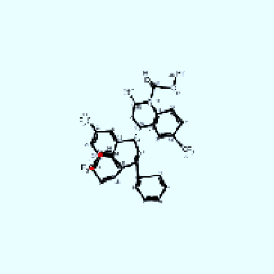 CC[C@@H]1C[C@@H](C(N=C(c2ccccc2)c2ccccc2)c2cc(C(F)(F)F)cc(C(F)(F)F)c2)c2cc(C(F)(F)F)ccc2N1C(=O)OC(C)C